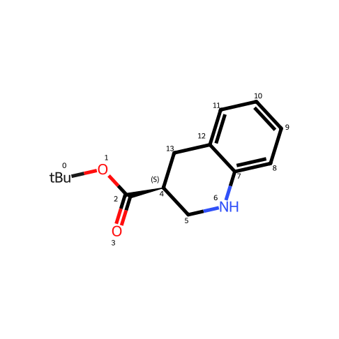 CC(C)(C)OC(=O)[C@@H]1CNc2ccccc2C1